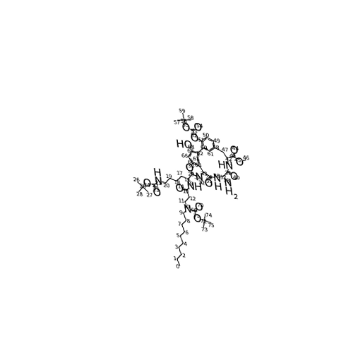 CCCCCCCCCCN(CCC(=O)N[C@@H](CCCCNC(=O)OC(C)(C)C)C(=O)N(C)[C@@H]1C(=O)N[C@@H](N)C(=O)N[C@H](C(=O)OC)Cc2ccc(OC(=O)OC(C)(C)C)c(c2)-c2cc1ccc2O)C(=O)OC(C)(C)C